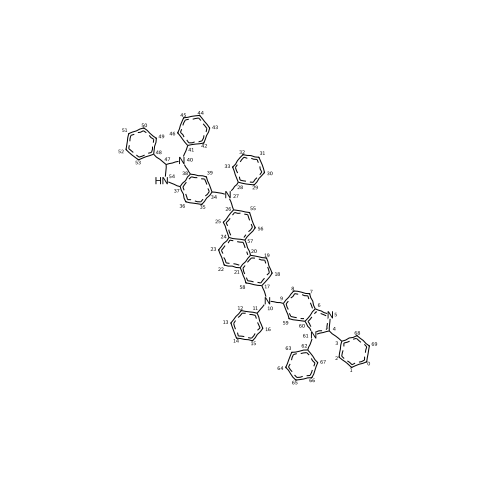 c1ccc(-c2nc3ccc(N(c4ccccc4)c4ccc5c(ccc6cc(N(c7ccccc7)c7ccc8c(c7)N(c7ccccc7)C(c7ccccc7)N8)ccc65)c4)cc3n2-c2ccccc2)cc1